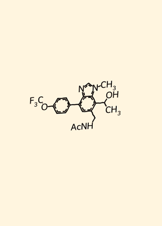 CC(=O)NCc1cc(-c2ccc(OC(F)(F)F)cc2)c2ncn(C)c2c1C(C)O